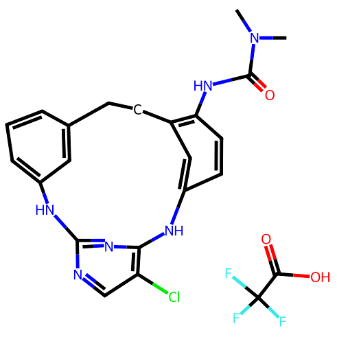 CN(C)C(=O)Nc1ccc2cc1CCc1cccc(c1)Nc1ncc(Cl)c(n1)N2.O=C(O)C(F)(F)F